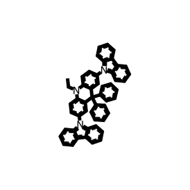 CCN1c2ccc(-n3c4ccccc4c4ccccc43)cc2C(c2ccccc2)(c2ccccc2)c2cc(-n3c4ccccc4c4ccccc43)ccc21